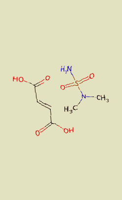 CN(C)S(N)(=O)=O.O=C(O)C=CC(=O)O